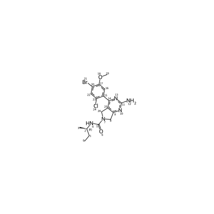 CC[C@@H](C)NC(=O)N1Cc2nc(N)nc(-c3cc(OC)c(Br)cc3Cl)c2C1